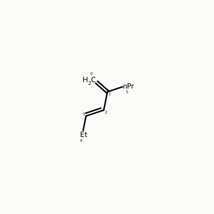 C=C(C=CCC)CCC